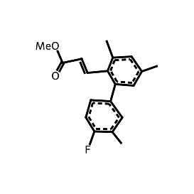 COC(=O)C=Cc1c(C)cc(C)cc1-c1ccc(F)c(C)c1